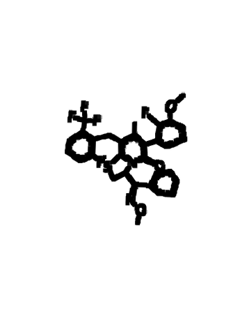 CO/N=C(\c1ccccc1)C1CSc2c(Cc3c(F)cccc3C(F)(F)F)c(C)c(-c3cccc(OC)c3F)c(=O)n21